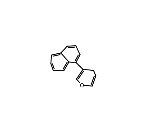 [C]1=C(c2cccc3ccccc23)CC=CO1